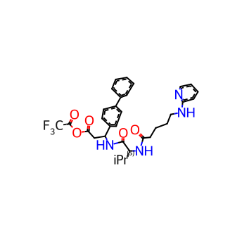 CC(C)[C@H](NC(=O)CCCCNc1ccccn1)C(=O)NC(CC(=O)OC(=O)C(F)(F)F)c1ccc(-c2ccccc2)cc1